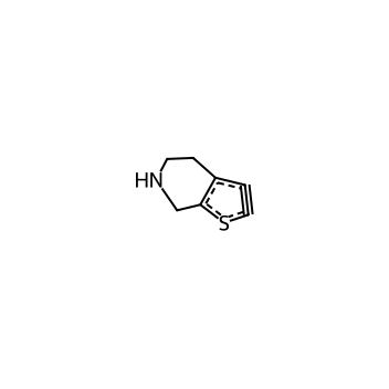 c1sc2c(c#1)CCNC2